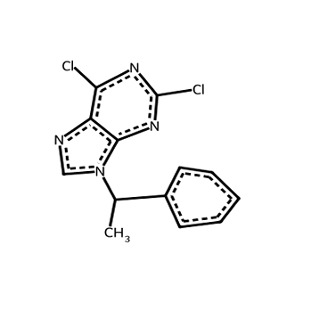 CC(c1ccccc1)n1cnc2c(Cl)nc(Cl)nc21